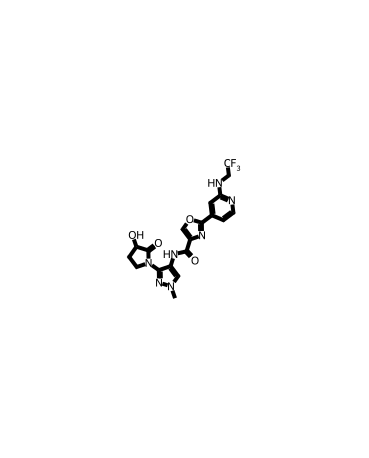 Cn1cc(NC(=O)c2coc(-c3ccnc(NCC(F)(F)F)c3)n2)c(N2CCC(O)C2=O)n1